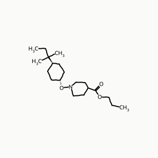 CCCOC(=O)C1CCN(O[C@H]2CC[C@H](C(C)(C)CC)CC2)CC1